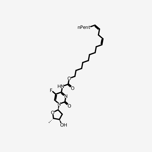 CCCCC/C=C\C/C=C\CCCCCCCCOC(=O)Nc1nc(=O)n([C@H]2C[C@@H](O)[C@H](C)O2)cc1F